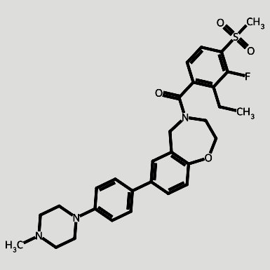 CCc1c(C(=O)N2CCOc3ccc(-c4ccc(N5CCN(C)CC5)cc4)cc3C2)ccc(S(C)(=O)=O)c1F